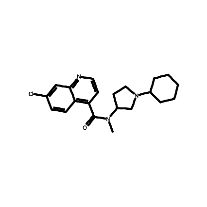 CN(C(=O)c1ccnc2cc(Cl)ccc12)C1CCN(C2CCCCC2)C1